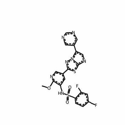 COc1ncc(-c2nn3c(-c4cncnc4)cnc3s2)cc1NS(=O)(=O)c1ccc(F)cc1F